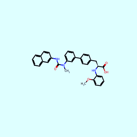 COc1ccccc1N[C@@H](Cc1ccc(-c2cccc(N(C)C(=O)Nc3ccc4ccccc4c3)c2)cc1)C(=O)O